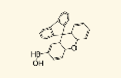 OBC1=CC2C(C=C1)OC1C=CC=CC1C21c2ccccc2-c2ccccc21